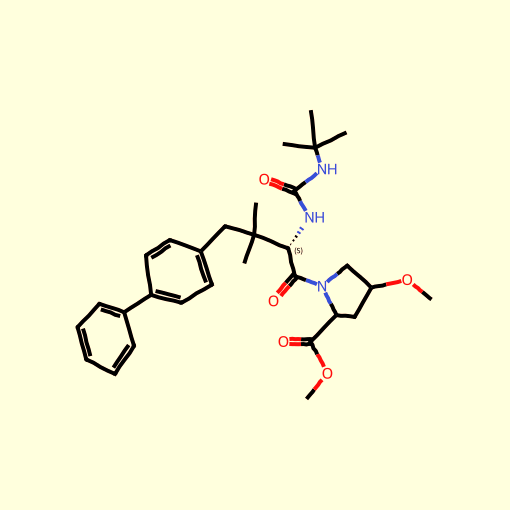 COC(=O)C1CC(OC)CN1C(=O)[C@@H](NC(=O)NC(C)(C)C)C(C)(C)Cc1ccc(-c2ccccc2)cc1